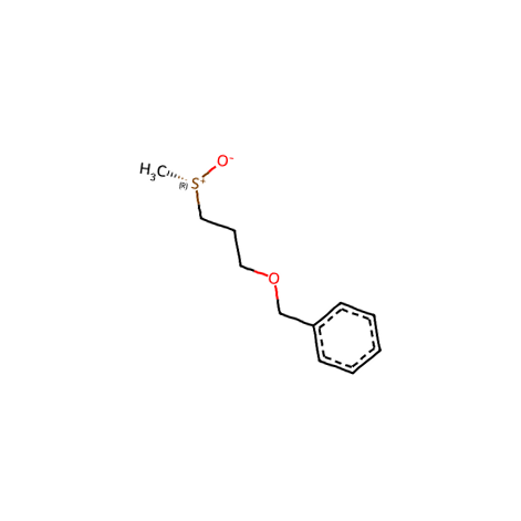 C[S@+]([O-])CCCOCc1ccccc1